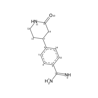 N=C(N)c1ccc(C2[CH]C(=O)NCC2)cc1